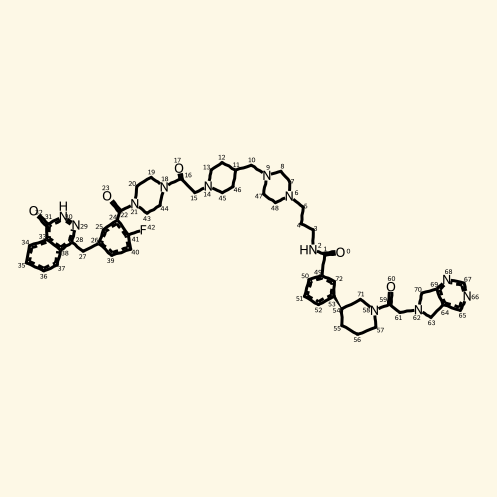 O=C(NCCCN1CCN(CC2CCN(CC(=O)N3CCN(C(=O)c4cc(Cc5n[nH]c(=O)c6ccccc56)ccc4F)CC3)CC2)CC1)c1cccc([C@@H]2CCCN(C(=O)CN3Cc4cncnc4C3)C2)c1